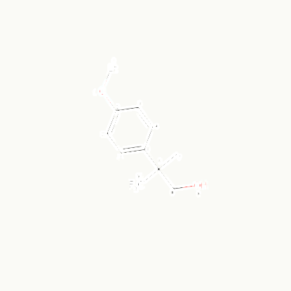 CCOc1ccc(C(C)(CO)C(F)(F)F)cc1